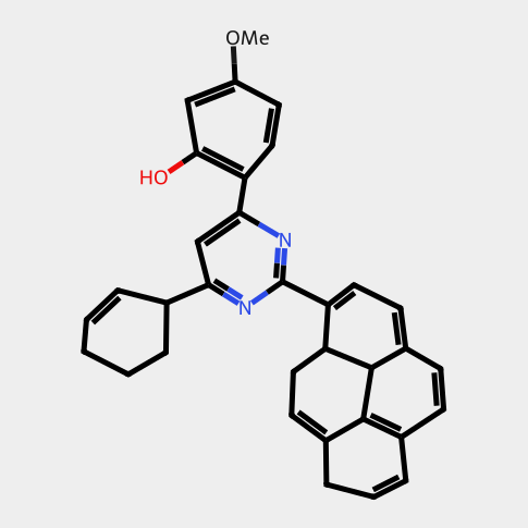 COc1ccc(-c2cc(C3C=CCCC3)nc(C3=CC=C4C=CC5=C6C(=CCC3C46)CC=C5)n2)c(O)c1